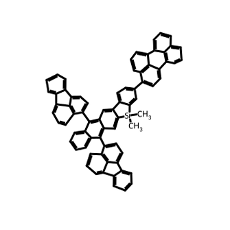 C[Si]1(C)c2cc(-c3ccc4c5cccc6cccc(c7cccc3c74)c65)ccc2-c2cc3c(-c4ccc5c6c(cccc46)-c4ccccc4-5)c4ccccc4c(-c4ccc5c6c(cccc46)-c4ccccc4-5)c3cc21